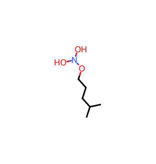 CC(C)CCCON(O)O